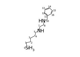 [SiH3]CCCCCNCCNCc1ccccc1